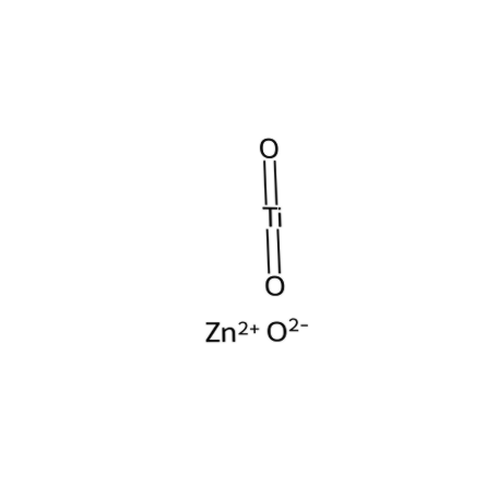 [O-2].[O]=[Ti]=[O].[Zn+2]